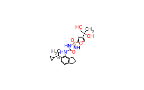 C[C@@H](c1ccc2c(c1NC(=O)NS(=N)(=O)c1cc(C(C)(O)CO)co1)CCC2)C1CC1